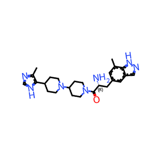 Cc1nc[nH]c1C1CCN(C2CCN(C(=O)[C@H](N)Cc3cc(C)c4[nH]ncc4c3)CC2)CC1